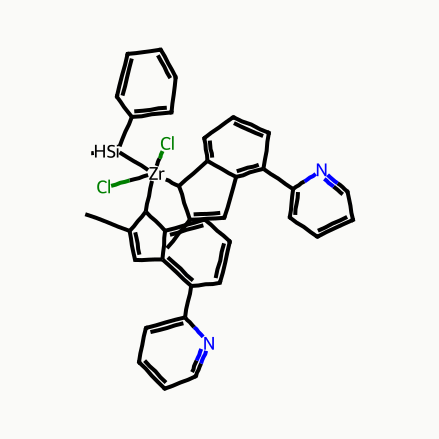 CC1=Cc2c(-c3ccccn3)cccc2[CH]1[Zr]([Cl])([Cl])([CH]1C(C)=Cc2c(-c3ccccn3)cccc21)[SiH](C)c1ccccc1